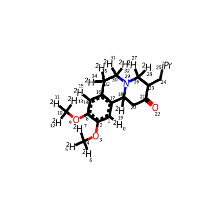 [2H]c1c(OC([2H])([2H])[2H])c(OC([2H])([2H])[2H])c([2H])c2c1C1([2H])CC(=O)C(CC(C)C)C([2H])([2H])N1C([2H])([2H])C2([2H])[2H]